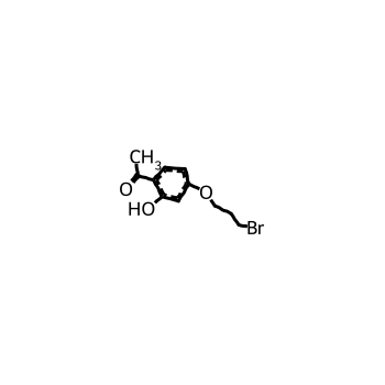 CC(=O)c1ccc(OCCCBr)cc1O